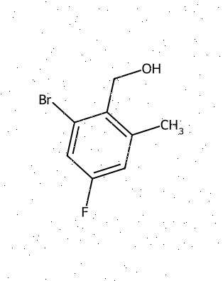 Cc1cc(F)cc(Br)c1CO